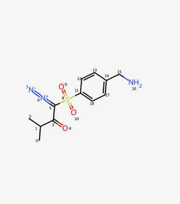 CC(C)C(=O)C(=[N+]=[N-])S(=O)(=O)c1ccc(CN)cc1